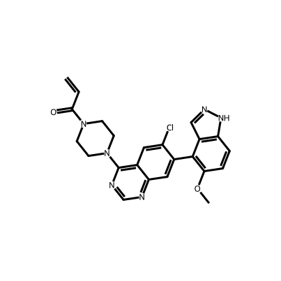 C=CC(=O)N1CCN(c2ncnc3cc(-c4c(OC)ccc5[nH]ncc45)c(Cl)cc23)CC1